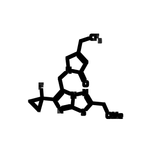 COCc1nn2c(CN3CC(CC(F)(F)F)=CC3=O)c(C3(F)CC3)nc2s1